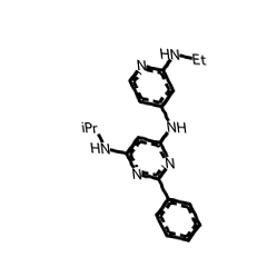 CCNc1cc(Nc2cc(NC(C)C)nc(-c3ccccc3)n2)ccn1